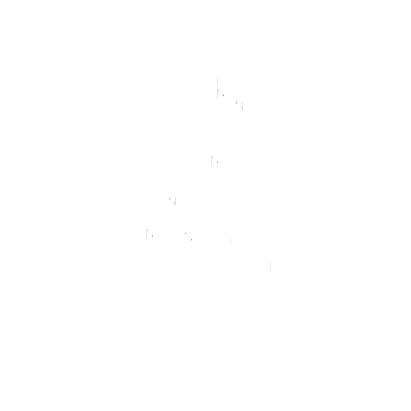 Nc1nc2c(c(Oc3ccc(F)cc3C(F)(F)F)n1)CCN(c1cn[nH]c(=O)c1Cl)C2